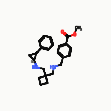 COC(=O)c1ccc(CNCC2(CN[C@H]3CC3c3ccccc3)CCC2)cc1